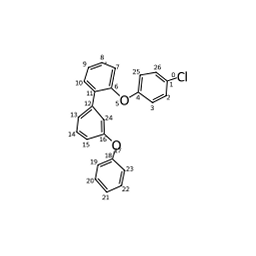 Clc1ccc(Oc2c[c]ccc2-c2cccc(Oc3ccccc3)c2)cc1